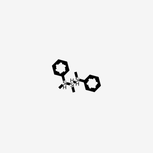 C[SiH](c1ccccc1)[SiH](C)[SiH](C)c1ccccc1